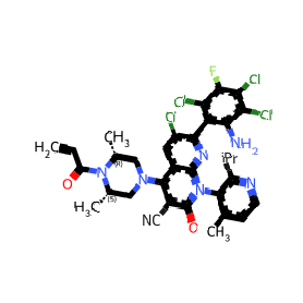 C=CC(=O)N1[C@H](C)CN(c2c(C#N)c(=O)n(-c3c(C)ccnc3C(C)C)c3nc(-c4c(N)c(Cl)c(Cl)c(F)c4Cl)c(Cl)cc23)C[C@@H]1C